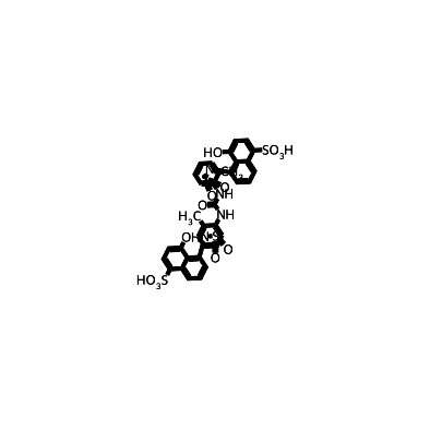 Cc1c2ccc(c1NC(=O)Nc1c3ccc(c1C)N(c1cccc4c(S(=O)(=O)O)ccc(O)c14)S3(=O)=O)S(=O)(=O)N2c1cccc2c(S(=O)(=O)O)ccc(O)c12